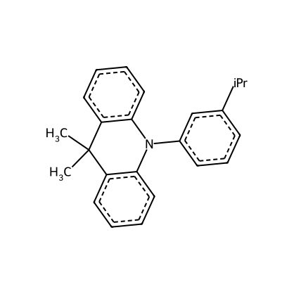 CC(C)c1cccc(N2c3ccccc3C(C)(C)c3ccccc32)c1